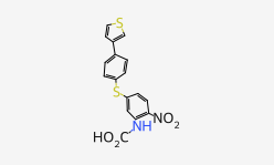 O=C(O)Nc1cc(Sc2ccc(-c3ccsc3)cc2)ccc1[N+](=O)[O-]